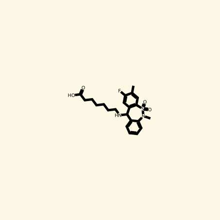 Cc1cc2c(cc1F)C(NCCCCCCC(=O)O)c1ccccc1N(C)S2(=O)=O